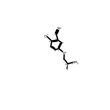 C[C@H](N)COc1ccc(Cl)c(C#N)c1